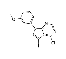 COc1cccc(-n2cc(I)c3c(Cl)ncnc32)c1